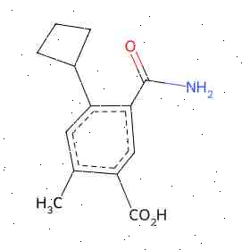 Cc1cc(C2CCC2)c(C(N)=O)cc1C(=O)O